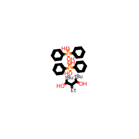 CCC(C(O)C(C)(C)C)C(O)C(C)(C)C.O[PH](O)(c1ccccc1)c1ccccc1.O[PH](O)(c1ccccc1)c1ccccc1